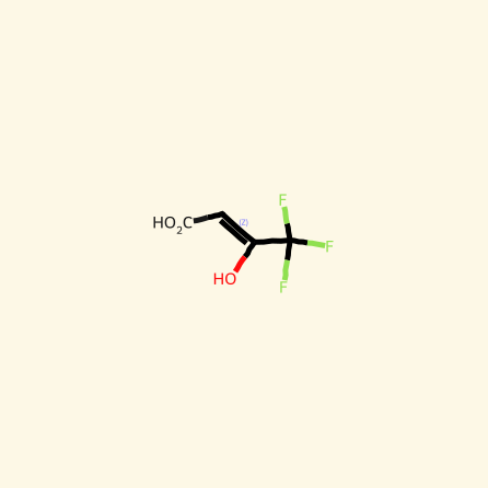 O=C(O)/C=C(\O)C(F)(F)F